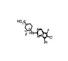 CC(C)c1c(Cl)c(F)c2cnc(N[C@@H]3CCN(C(=O)O)C[C@H]3F)nn12